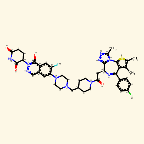 Cc1sc2c(c1C)C(c1ccc(Cl)cc1)=N[C@@H](CC(=O)N1CCC(CN3CCN(c4cc5cnn(C6CCC(=O)NC6=O)c(=O)c5cc4F)CC3)CC1)c1nnc(C)n1-2